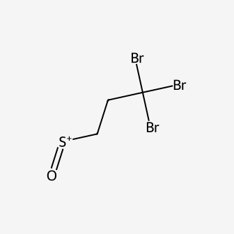 O=[S+]CCC(Br)(Br)Br